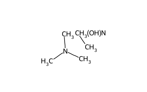 CN(C)C.CN(C)O